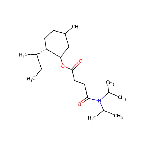 CCC(C)[C@@H]1CCC(C)CC1OC(=O)CCC(=O)N(C(C)C)C(C)C